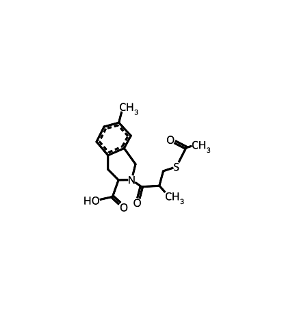 CC(=O)SCC(C)C(=O)N1Cc2cc(C)ccc2CC1C(=O)O